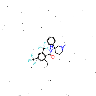 CCc1cc(C(F)(F)F)cc(C(F)(F)F)c1C(=O)NC1(c2ccccc2)CCCN(C)C1